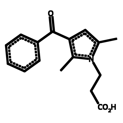 Cc1cc(C(=O)c2ccccc2)c(C)n1CCC(=O)O